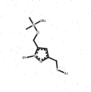 CC(=O)SCc1cc(CO[Si](C)(C)C(C)(C)C)n(C(C)C)n1